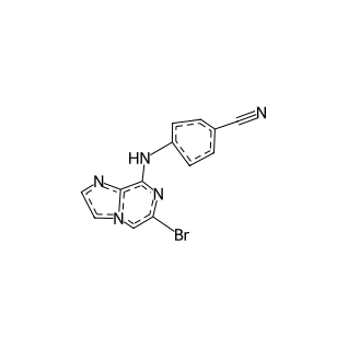 N#Cc1ccc(Nc2nc(Br)cn3ccnc23)cc1